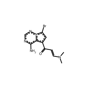 CN(C)/C=C/C(=O)c1cc(Br)n2ncnc(N)c12